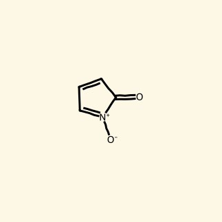 O=C1C=CC=[N+]1[O-]